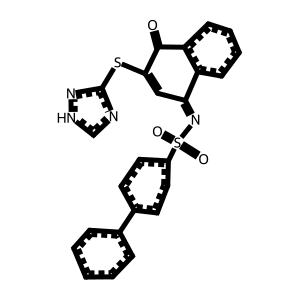 O=C1C(Sc2nc[nH]n2)=C/C(=N\S(=O)(=O)c2ccc(-c3ccccc3)cc2)c2ccccc21